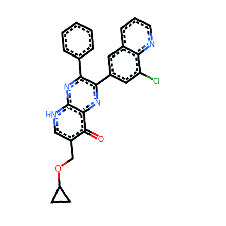 O=c1c(COC2CC2)c[nH]c2nc(-c3ccccc3)c(-c3cc(Cl)c4ncccc4c3)nc12